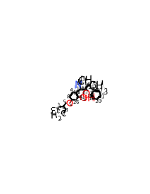 C=C/C(=C\CC)COc1ccc(C(=N/C)/C(=C/C)Oc2ccccc2)c(O)c1